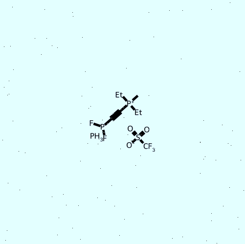 CC[P+](C)(C#CP(F)F)CC.O=S(=O)([O-])C(F)(F)F.P